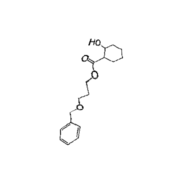 O=C(OCCCOCc1ccccc1)C1CCCCC1O